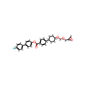 O=C(Oc1ccc(-c2ccc(F)cc2)cc1)c1ccc(C2CCC(OCOCC3CO3)CC2)cc1